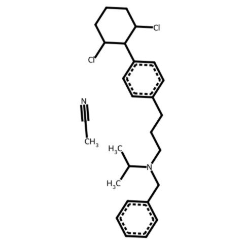 CC#N.CC(C)N(CCCc1ccc(C2C(Cl)CCCC2Cl)cc1)Cc1ccccc1